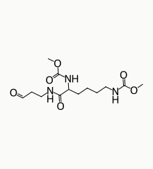 COC(=O)NCCCCC(NC(=O)OC)C(=O)NCCC=O